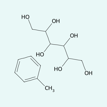 Cc1ccccc1.OCC(O)C(O)C(O)C(O)CO